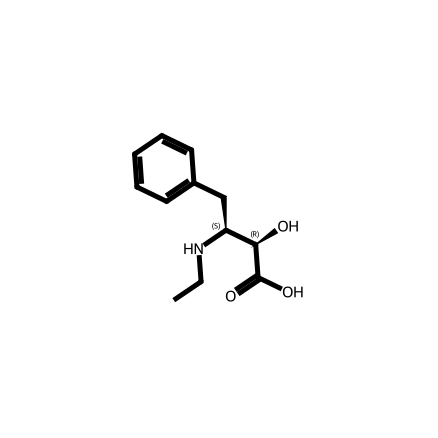 CCN[C@@H](Cc1ccccc1)[C@@H](O)C(=O)O